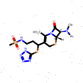 CC(=O)N(C#N)[C@@H]1C(=O)N2C(C(=O)O)=C(C(CCNS(C)(=O)=O)Sc3nnn[nH]3)CS[C@@H]12